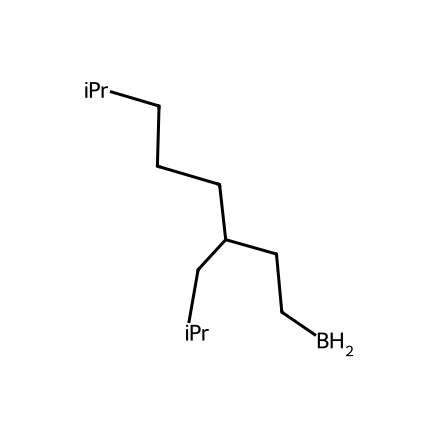 BCCC(CCCC(C)C)CC(C)C